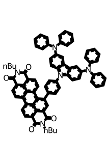 CCCCN1C(=O)c2ccc3c4ccc5c6c(cc(-c7ccc(-n8c9ccc(N(c%10ccccc%10)c%10ccccc%10)cc9c9cc(N(c%10ccccc%10)c%10ccccc%10)ccc98)cc7)c(c7ccc(c2c37)C1=O)c64)C(=O)N(CCCC)C5=O